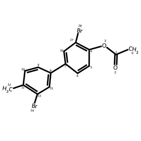 CC(=O)Oc1ccc(-c2ccc(C)c(Br)c2)cc1Br